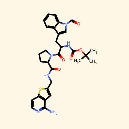 CC(C)(C)OC(=O)NC(Cc1cn(C=O)c2ccccc12)C(=O)N1CCCC1C(=O)NCc1cc2c(N)nccc2s1